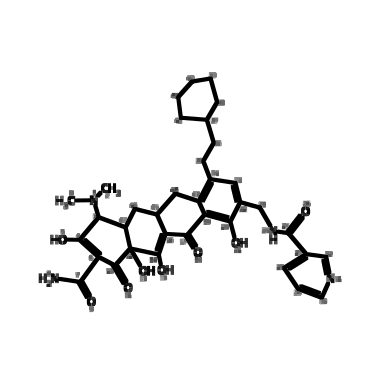 CN(C)C1C(O)=C(C(N)=O)C(=O)C2(O)C(O)=C3C(=O)c4c(O)c(CNC(=O)c5cccnc5)cc(CCC5CCCCC5)c4CC3CC12